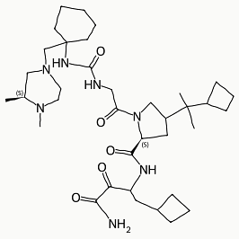 C[C@H]1CN(CC2(NC(=O)NCC(=O)N3CC(C(C)(C)C4CCC4)C[C@H]3C(=O)NC(CC3CCC3)C(=O)C(N)=O)CCCCC2)CCN1C